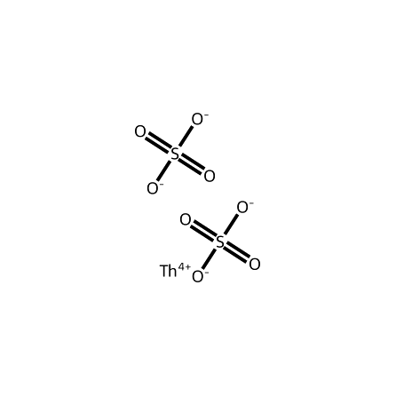 O=S(=O)([O-])[O-].O=S(=O)([O-])[O-].[Th+4]